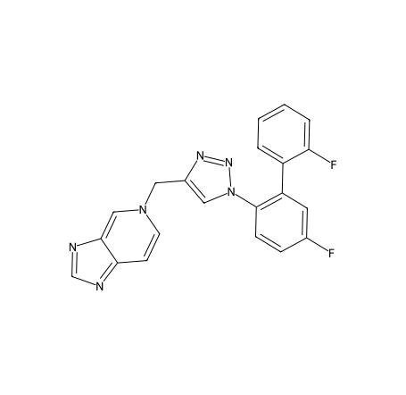 Fc1ccc(-n2cc(Cn3ccc4ncnc-4c3)nn2)c(-c2ccccc2F)c1